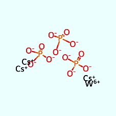 O=P([O-])([O-])[O-].O=P([O-])([O-])[O-].O=P([O-])([O-])[O-].[Cs+].[Cs+].[Cs+].[W+6]